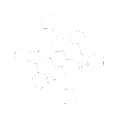 c1ccc(-n2c(-c3c4ccc(N5CCCCC5)cc4c(-c4nc5ccccc5n4-c4ccccc4)c4ccc(N5CCCCC5)cc34)nc3ccccc32)cc1